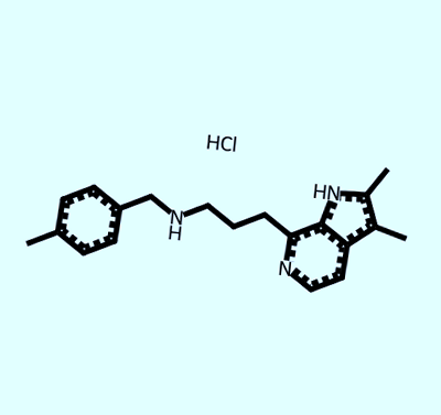 Cc1ccc(CNCCCc2nccc3c(C)c(C)[nH]c23)cc1.Cl